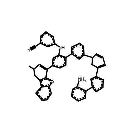 CC1C=C(c2ccc(-c3cccc(C4C=CC=C(c5cccc(-c6ccccc6N)c5)C4)c3)c(Nc3cccc(C#N)c3)c2)c2sc3ccccc3c2C1